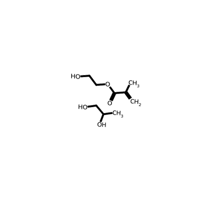 C=C(C)C(=O)OCCO.CC(O)CO